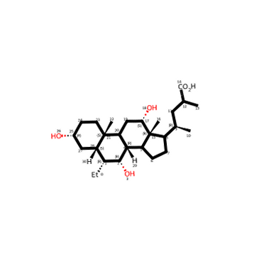 CC[C@H]1[C@@H](O)[C@H]2C3CCC([C@H](C)CC(C)C(=O)O)[C@@]3(C)[C@@H](O)CC2[C@@]2(C)CC[C@@H](O)C[C@@H]12